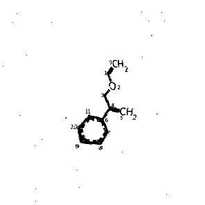 C=COCC(=C)c1ccccc1